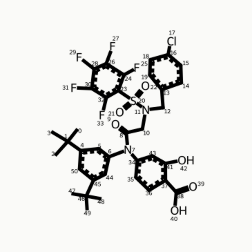 CC(C)(C)c1cc(N(C(=O)CN(Cc2ccc(Cl)cc2)S(=O)(=O)c2c(F)c(F)c(F)c(F)c2F)c2ccc(C(=O)O)c(O)c2)cc(C(C)(C)C)c1